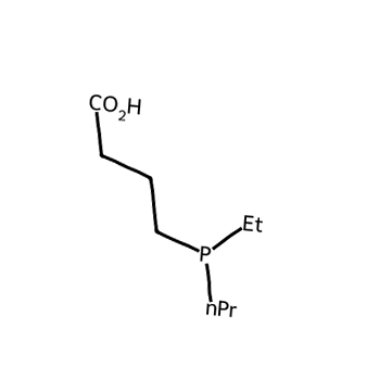 CCCP(CC)CCCC(=O)O